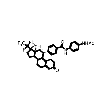 CC(=O)Nc1ccc(NC(=O)c2ccc([C@H]3C[C@@]4(C)C(CC[C@]4(O)C(F)(F)C(F)(F)F)C4CCC5=CC(=O)CCC5=C43)cc2)cc1